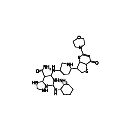 NC(=O)C1C(NC2CCC(C3CSC4C(=O)C=C(N5CCOCC5)SC43)NC2)NC(N[C@H]2CCCC[C@H]2N)N2NCNC12